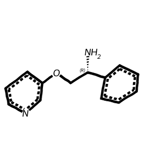 N[C@@H](COc1cccnc1)c1ccccc1